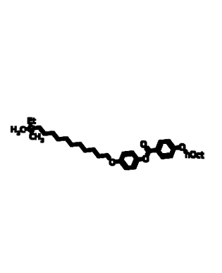 CCCCCCCCOc1ccc(C(=O)Oc2ccc(OCCCCCCCCCCC[Si](C)(C)CC)cc2)cc1